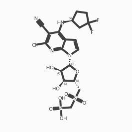 N#Cc1c(Cl)nc2c(ccn2[C@@H]2O[C@H](CS(=O)(=O)CP(=O)(O)O)[C@@H](O)[C@H]2O)c1N[C@H]1CCC(F)(F)C1